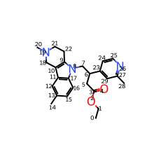 CCOC(=O)CC(Cn1c2c(c3cc(C)ccc31)CN(C)CC2)c1ccnc(C)c1